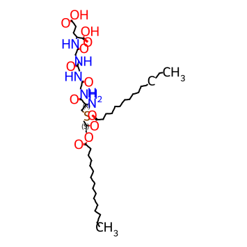 CCCCCCCCCCCCCCCC(=O)OC[C@@H](CSC[C@H](N)C(=O)NCC(=O)NCC(=O)NCC(=O)NC(CCC(=O)O)C(=O)O)OC(=O)CCCCCCCCCCCCCCC